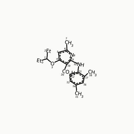 CCC(CC)Oc1cc(C)nc(Nc2ccc(C)cc2C)c1C(=O)O